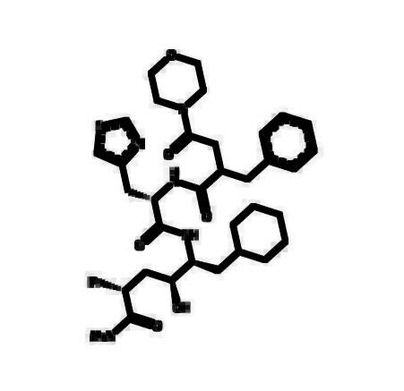 CNC(=O)[C@@H](C[C@H](O)[C@H](CC1CCCCC1)NC(=O)[C@H](Cc1cscn1)NC(=O)C(CC(=O)N1CCOCC1)Cc1ccccc1)C(C)C